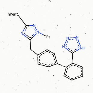 CCCCCc1nc(Cc2ccc(-c3ccccc3-c3nnn[nH]3)cc2)n(CC)n1